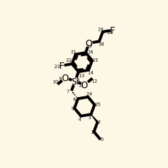 CCC[C@H]1CC[C@H](C[Si](OC)(OC)c2ccc(OCCF)cc2F)CC1